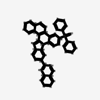 S=P(c1ccccc1)(c1ccccc1)c1ccc2c(c1)c1ccc3ccccc3c1c1nc3ccc(-c4ncc5ccccc5n4)cc3n21